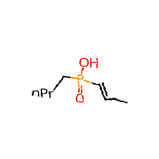 CC=CP(=O)(O)CCCC